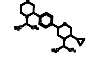 CC(C)N1CCOCC1c1ccc(C2CN(C(C)C)C(C3CC3)CO2)cc1